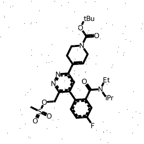 CCN(C(=O)c1cc(F)ccc1-c1cc(C2=CCN(C(=O)OC(C)(C)C)CC2)nnc1COS(C)(=O)=O)C(C)C